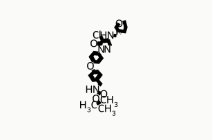 CC(C)(C)OC(=O)NCc1ccc(Oc2ccc(-n3ncc(NC[C@H]4CCCOC4)c(Cl)c3=O)cc2)cc1